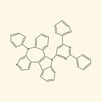 c1ccc(-c2cc(-n3c4c(c5ccccc53)-c3ccncc3N(c3ccccc3)c3ccccc3-4)nc(-c3ccccc3)n2)cc1